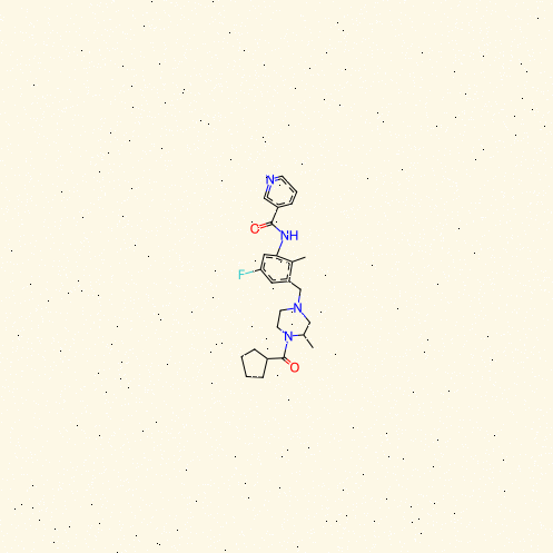 Cc1c(CN2CCN(C(=O)C3CCCC3)C(C)C2)cc(F)cc1NC(=O)c1cccnc1